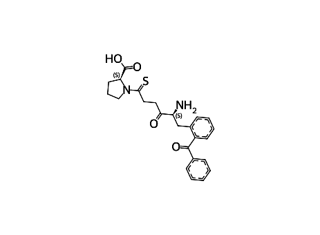 N[C@@H](Cc1ccccc1C(=O)c1ccccc1)C(=O)CCC(=S)N1CCC[C@H]1C(=O)O